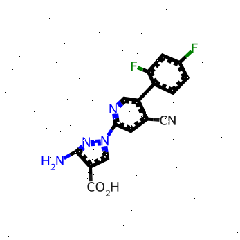 N#Cc1cc(-n2cc(C(=O)O)c(N)n2)ncc1-c1ccc(F)cc1F